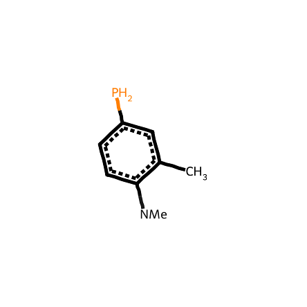 CNc1ccc(P)cc1C